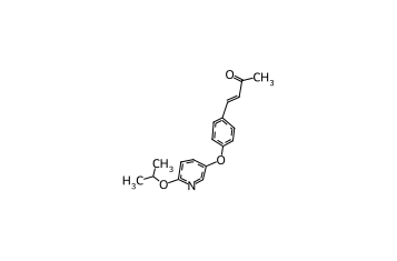 CC(=O)/C=C/c1ccc(Oc2ccc(OC(C)C)nc2)cc1